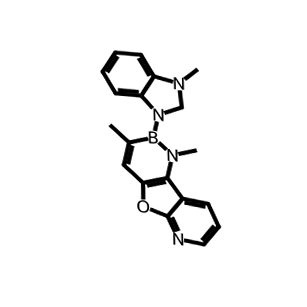 CC1=Cc2oc3ncccc3c2N(C)B1N1CN(C)c2ccccc21